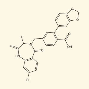 CC1C(=O)Nc2cc(Cl)ccc2C(=O)N1Cc1ccc(C(=O)O)c(-c2ccc3c(c2)OCO3)c1